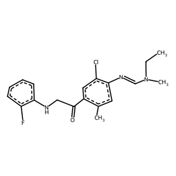 CCN(C)C=Nc1cc(C)c(C(=O)CNc2ccccc2F)cc1Cl